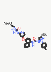 CCCCc1cc(NC(=O)Nc2ccc(Oc3ccnc(NC(=O)NCCOC)c3)c3ccccc23)n(-c2ccc(C)cc2)n1